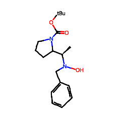 C[C@H](C1CCCN1C(=O)OC(C)(C)C)N(O)Cc1ccccc1